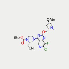 CO[C@@H]1C[C@@H](COc2nc(N3CCN(C(=O)OC(C)(C)C)[C@@H](CC#N)C3)c3cnc(Cl)c(F)c3n2)N(C)C1